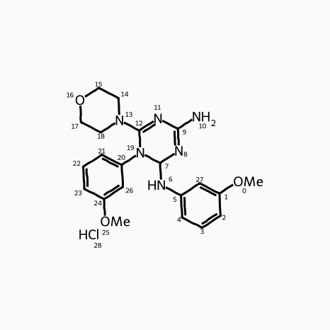 COc1cccc(NC2N=C(N)N=C(N3CCOCC3)N2c2cccc(OC)c2)c1.Cl